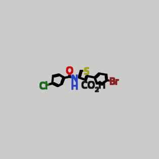 O=C(Nc1csc(-c2ccc(Br)cc2)c1C(=O)O)c1ccc(Cl)cc1